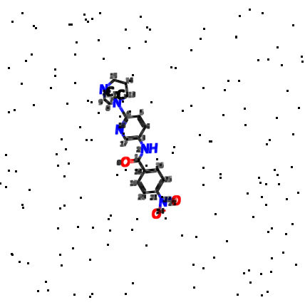 O=C(Nc1ccc(N2CCN3CCC2CC3)nc1)c1ccc([N+](=O)[O-])cc1